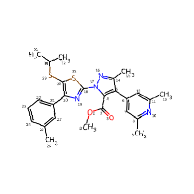 COC(=O)c1c(-c2cc(C)nc(C)c2)c(C)nn1-c1nc(-c2cccc(C)c2)c(SC(C)C)s1